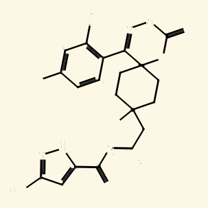 Cc1cc(C(=O)N[C@@H](C)CC2(O)CCC3(CC2)OC(=O)NN=C3c2ccc(F)cc2Br)[nH]n1